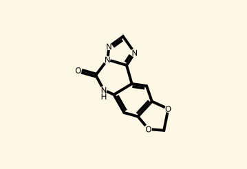 O=c1[nH]c2cc3c(cc2c2ncnn12)OCO3